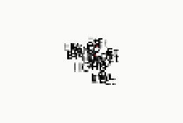 CCO[Si](CCCNC(=O)Nc1cc(N(CC)CC)ccc1-c1nc(-c2cc(C)c(O)c(C)c2)[nH]c1-c1ccc(N(CC)CC)cc1NC(=O)NCCC[Si](OCC)(OCC)OCC)(OCC)OCC